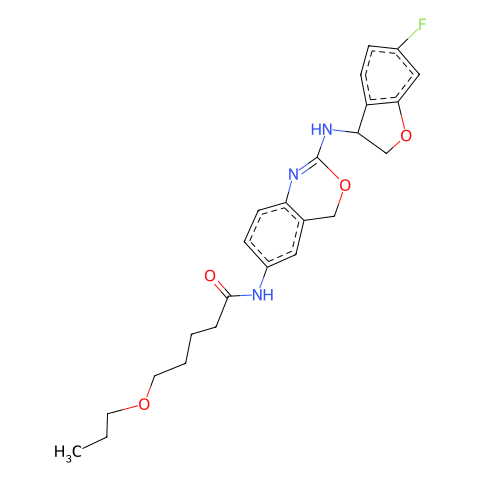 CCCOCCCCC(=O)Nc1ccc2c(c1)COC(NC1COc3cc(F)ccc31)=N2